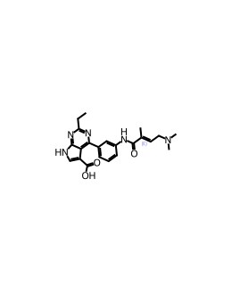 CCc1nc(-c2cccc(NC(=O)/C(C)=C/CN(C)C)c2)c2c(C(=O)O)c[nH]c2n1